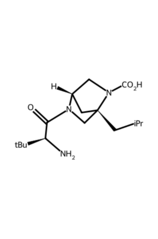 CC(C)C[C@@]12C[C@@H](CN1C(=O)O)N(C(=O)[C@@H](N)C(C)(C)C)C2